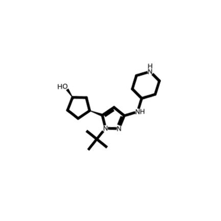 CC(C)(C)n1nc(NC2CCNCC2)cc1[C@H]1CC[C@@H](O)C1